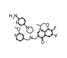 COc1cc(CN(Cc2cn3c4c(c(F)c(F)cc4c2=O)OCC3C)[C@H]2CCN(c3ccc(N)nc3)C2)ccn1